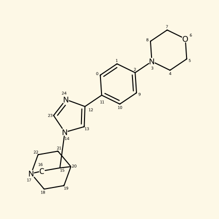 c1cc(N2CCOCC2)ccc1-c1cn(C2CN3CCC2CC3)cn1